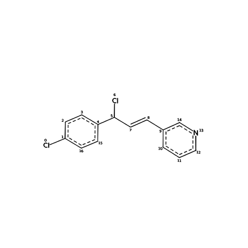 Clc1ccc(C(Cl)C=Cc2cccnc2)cc1